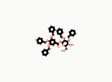 O=C(O[C@@H]1O[C@H](CO)[C@@H](O)[C@H](OCc2ccccc2)[C@@H]1OCc1ccccc1)c1cc(OCc2ccccc2)c(OCc2ccccc2)c(OCc2ccccc2)c1